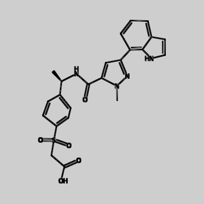 C[C@@H](NC(=O)c1cc(-c2cccc3cc[nH]c23)nn1C)c1ccc(S(=O)(=O)CC(=O)O)cc1